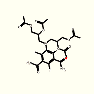 CC(=O)OCC(CN(CC(COC(C)=O)OC(C)=O)c1c(I)c(C(N)=O)c(I)c(C(N)=O)c1I)OC(C)=O